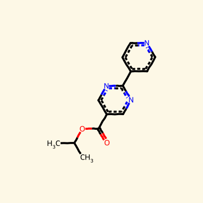 CC(C)OC(=O)c1cnc(-c2ccncc2)nc1